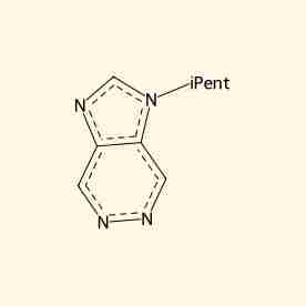 CCCC(C)n1cnc2cnncc21